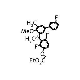 CCOC(=O)COc1ccc(F)c(N(C)c2cc(-c3cccc(F)c3)cc(C)c2OC)c1F